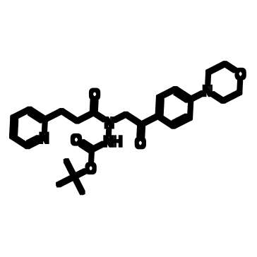 CC(C)(C)OC(=O)NN(CC(=O)c1ccc(N2CCOCC2)cc1)C(=O)CCc1ccccn1